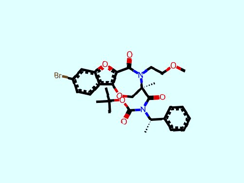 COCCN1C(=O)c2oc3cc(Br)ccc3c2OC[C@]1(C)C(=O)N(C(=O)OC(C)(C)C)[C@@H](C)c1ccccc1